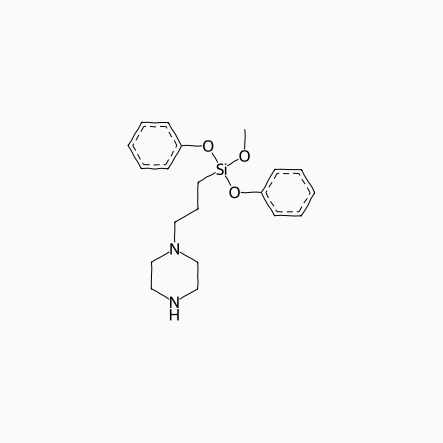 CO[Si](CCCN1CCNCC1)(Oc1ccccc1)Oc1ccccc1